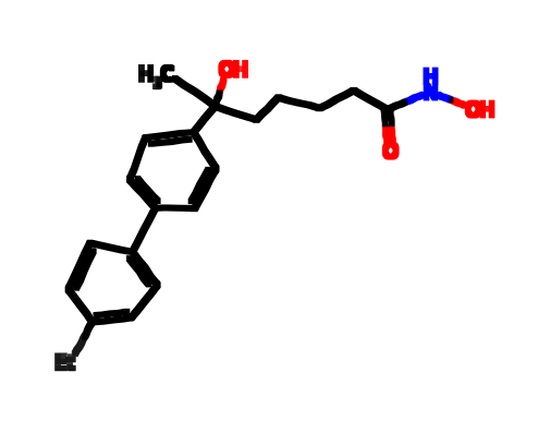 CCc1ccc(-c2ccc(C(C)(O)CCCCC(=O)NO)cc2)cc1